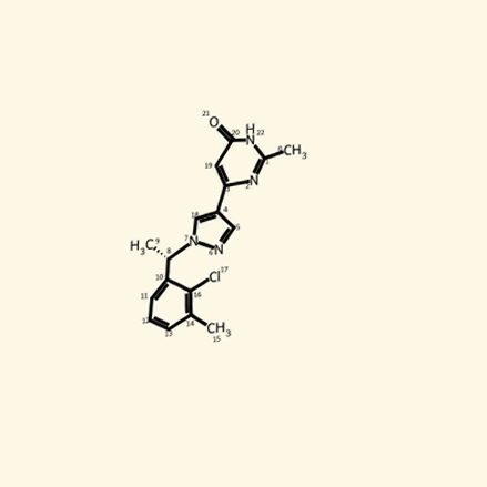 Cc1nc(-c2cnn([C@@H](C)c3cccc(C)c3Cl)c2)cc(=O)[nH]1